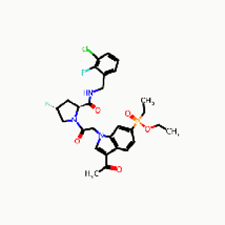 CCOP(=O)(CC)c1ccc2c(C(C)=O)cn(CC(=O)N3C[C@H](F)C[C@H]3C(=O)NCc3cccc(Cl)c3F)c2c1